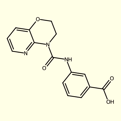 O=C(O)c1cccc(NC(=O)N2CCOc3cccnc32)c1